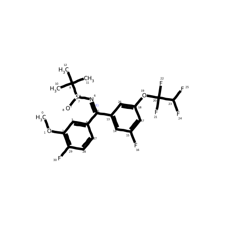 COc1cc(/C(=N\[S+]([O-])C(C)(C)C)c2cc(F)cc(OC(F)(F)C(F)F)c2)ccc1F